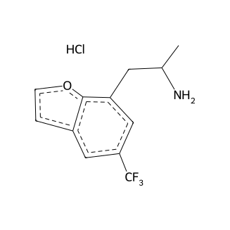 CC(N)Cc1cc(C(F)(F)F)cc2ccoc12.Cl